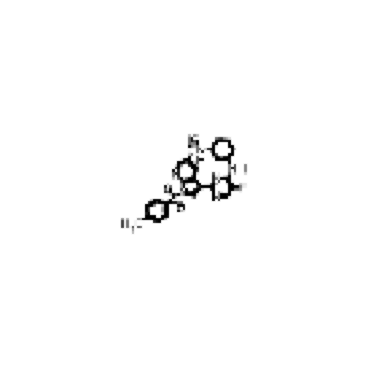 Cc1ccc(S(=O)(=O)n2cc(-c3ncc(F)c(N[C@@H]4CCC[C@@H](NO)C4)n3)c3cc(Cl)cnc32)cc1